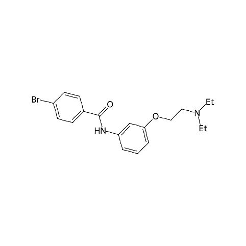 CCN(CC)CCOc1cccc(NC(=O)c2ccc(Br)cc2)c1